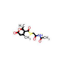 CC(=O)NC(=O)CSC(=O)c1c(C)cc(=O)oc1C